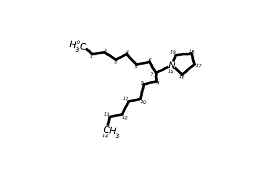 CCCCCCCC(CCCCCCC)N1CCCC1